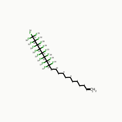 C=CCCCCCCCCCCC(F)(F)C(F)(F)C(F)(F)C(F)(F)C(F)(F)C(F)(F)C(F)(F)C(F)(F)F